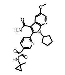 COc1cnc2c(c1)c(C(N)=O)c(-c1ccc(S(=O)(=O)NC3(C)CC3)cn1)n2C1CCCC1